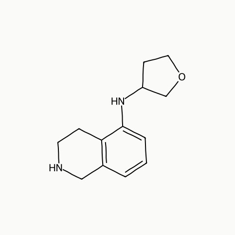 c1cc2c(c(NC3CCOC3)c1)CCNC2